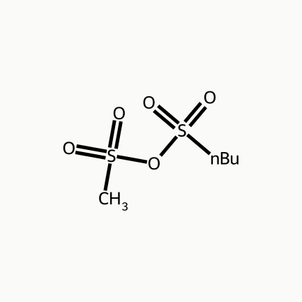 CCCCS(=O)(=O)OS(C)(=O)=O